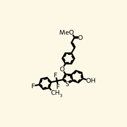 COC(=O)/C=C/c1ccc(Oc2c(C(F)(F)c3ccc(F)cc3C)sc3cc(O)ccc23)cc1